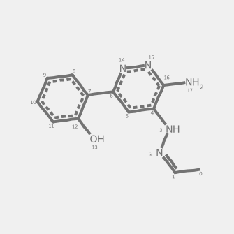 C/C=N\Nc1cc(-c2ccccc2O)nnc1N